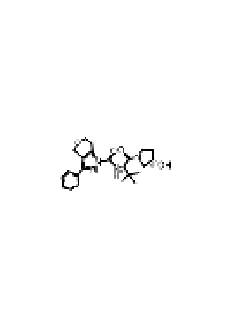 CC(C)(C)[C@H](NC(=O)n1nc(-c2ccccc2)c2c1CCOC2)C(=O)N1CC[C@H](O)C1